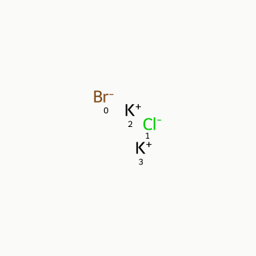 [Br-].[Cl-].[K+].[K+]